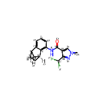 CC(C)[C@@H]1C2CC[C@@H]1c1c(NC(=O)c3cn(C)nc3C(F)F)cccc12